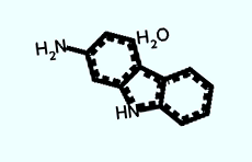 Nc1ccc2c(c1)[nH]c1ccccc12.O